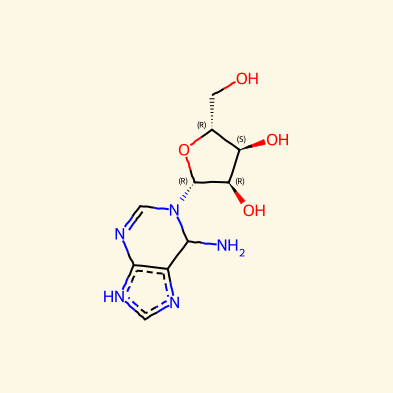 NC1c2nc[nH]c2N=CN1[C@@H]1O[C@H](CO)[C@@H](O)[C@H]1O